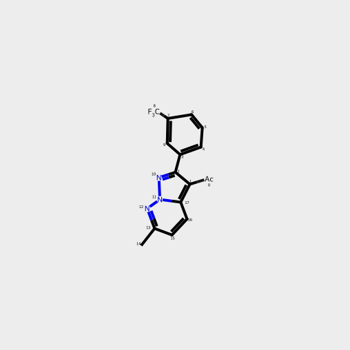 CC(=O)c1c(-c2cccc(C(F)(F)F)c2)nn2nc(C)ccc12